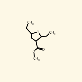 CCC1CC(C(=O)OC)C(CC)O1